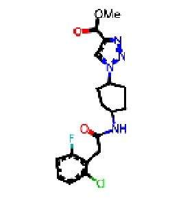 COC(=O)c1cn(C2CCC(NC(=O)Cc3c(F)cccc3Cl)CC2)nn1